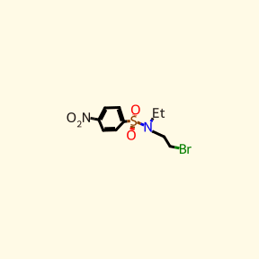 CCN(CCCBr)S(=O)(=O)c1ccc([N+](=O)[O-])cc1